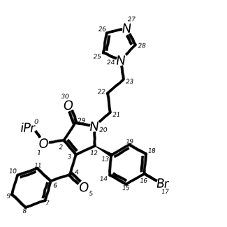 CC(C)OC1=C(C(=O)C2=CCCC=C2)[C@H](c2ccc(Br)cc2)N(CCCn2ccnc2)C1=O